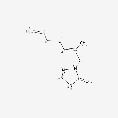 C=CCON=C(C)Cn1nn[nH]c1=O